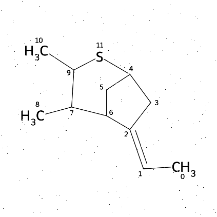 C/C=C1\CC2CC1C(C)C(C)S2